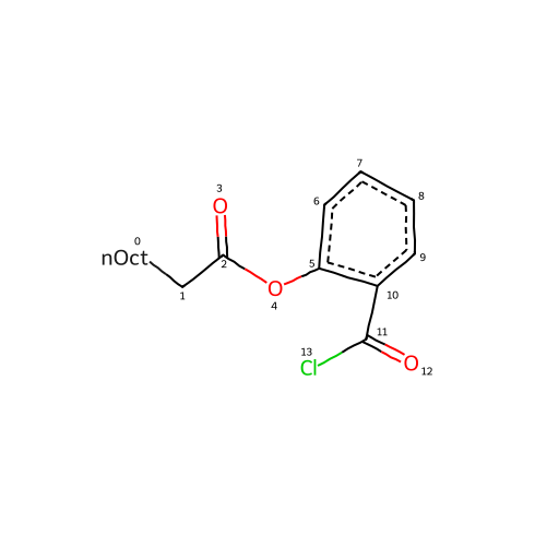 CCCCCCCCCC(=O)Oc1ccccc1C(=O)Cl